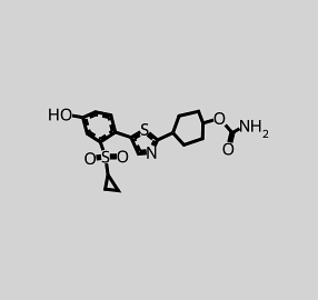 NC(=O)OC1CCC(c2ncc(-c3ccc(O)cc3S(=O)(=O)C3CC3)s2)CC1